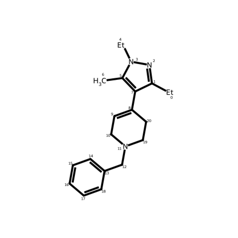 CCc1nn(CC)c(C)c1C1=CCN(Cc2ccccc2)CC1